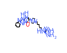 N=C(N)NCCCCCN1CCN(c2c[nH]c(Nc3nc4ccccc4[nH]3)nc2=O)CC1